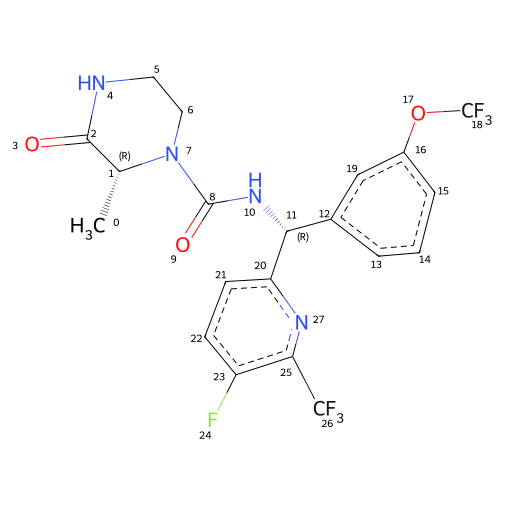 C[C@@H]1C(=O)NCCN1C(=O)N[C@H](c1cccc(OC(F)(F)F)c1)c1ccc(F)c(C(F)(F)F)n1